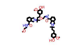 COCCNC(=O)c1cccc2c1CN(C(C)(CCc1ccc(O)c(OC)c1)COCCN(C)C(=O)c1cccc3c1CN(C(C)(C)CCc1ccc(O)c(OC)c1)C3)C2